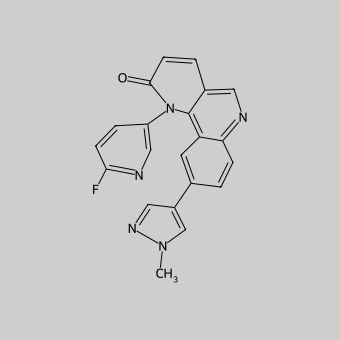 Cn1cc(-c2ccc3ncc4ccc(=O)n(-c5ccc(F)nc5)c4c3c2)cn1